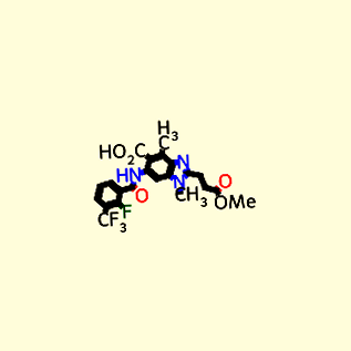 COC(=O)CCc1nc2c(C)c(C(=O)O)c(NC(=O)c3cccc(C(F)(F)F)c3F)cc2n1C